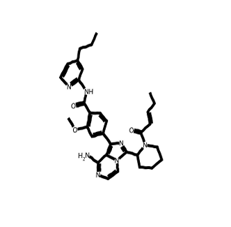 CC/C=C/C(=O)N1CCCCC1c1nc(-c2ccc(C(=O)Nc3cc(CCC)ccn3)c(OC)c2)c2c(N)nccn12